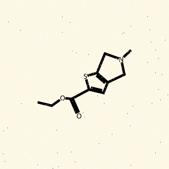 CCOC(=O)c1cc2c(s1)CN(C)C2